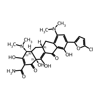 CN(C)c1cc(-c2ccc(Cl)o2)c(O)c2c1C[C@H]1C[C@@H]3[C@H](N(C)C)C(O)=C(C(N)=O)C(=O)[C@@]3(O)C(O)=C1C2=O